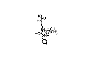 CC(C)(C)OC(=O)N[C@@H](Cc1ccccc1)[C@H](O)/C=C/CCCNC(=O)O